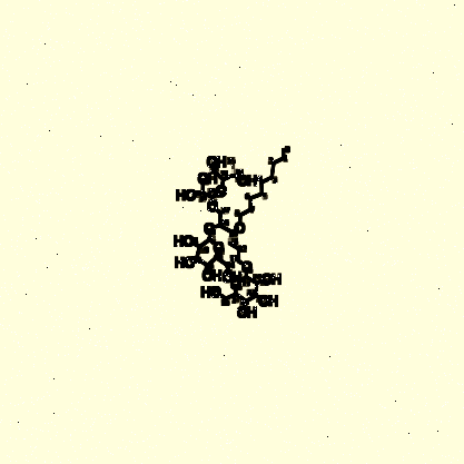 CCCCCCCCCO[C@H](CCCOC1OC(CO)C(O)C(O)C1O)[C@H](COC(OC(CO)[C@H](C)O)C(O)O)OC1OC(CO)C(O)C(O)C1O